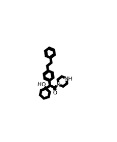 O=C(C(c1ccc(CCc2ccccc2)cc1)C1(O)CCCCC1)N1CCNCC1